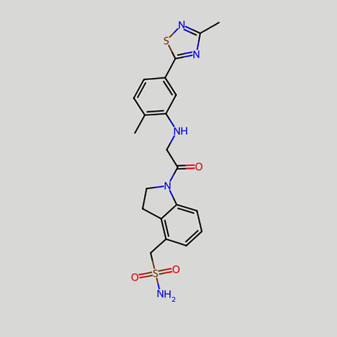 Cc1nsc(-c2ccc(C)c(NCC(=O)N3CCc4c(CS(N)(=O)=O)cccc43)c2)n1